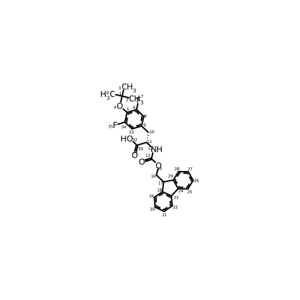 CC(C)(C)Oc1c(F)cc(C[C@H](NC(=O)OCC2c3ccccc3-c3ccccc32)C(=O)O)cc1F